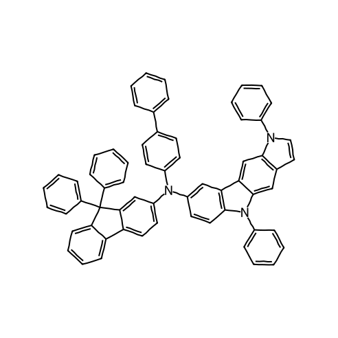 c1ccc(-c2ccc(N(c3ccc4c(c3)C(c3ccccc3)(c3ccccc3)c3ccccc3-4)c3ccc4c(c3)c3cc5c(ccn5-c5ccccc5)cc3n4-c3ccccc3)cc2)cc1